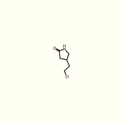 O=C1CC(CCCl)CN1